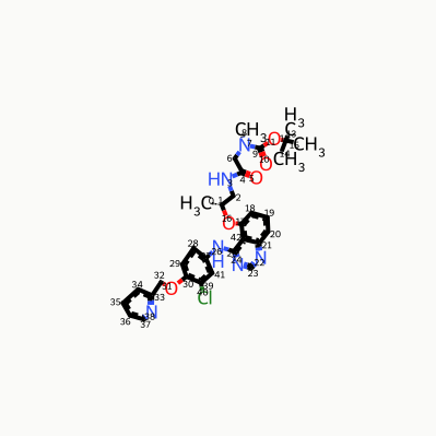 C[C@H](CNC(=O)CN(C)C(=O)OC(C)(C)C)Oc1cccc2ncnc(Nc3ccc(OCc4ccccn4)c(Cl)c3)c12